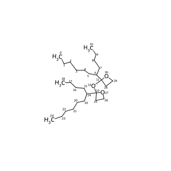 CCCCCCC(CCCC)C1(OC2(C(CCCC)CCCCCC)CCO2)CCO1